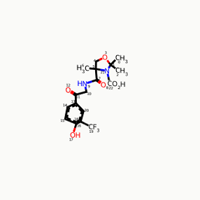 CC1(C)OCC(C)(C(=O)NCC(=O)c2ccc(O)c(C(F)(F)F)c2)N1C(=O)O